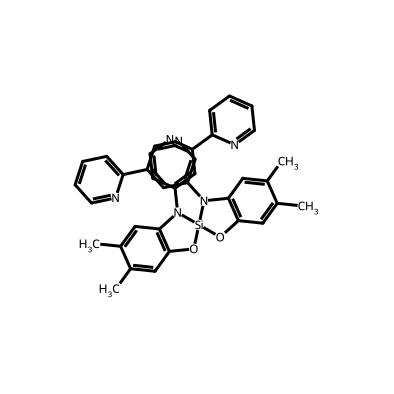 Cc1cc2c(cc1C)N(c1cncc(-c3ccccn3)c1)[Si]1(O2)Oc2cc(C)c(C)cc2N1c1ccnc(-c2ccccn2)c1